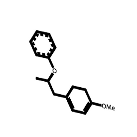 COC1=CC=C(CC(C)Oc2ccccc2)CC1